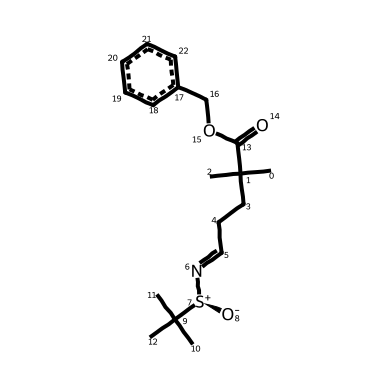 CC(C)(CCC=N[S@@+]([O-])C(C)(C)C)C(=O)OCc1ccccc1